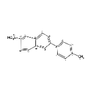 Cc1ccc(-c2ccc3cc(S(=O)(=O)O)ccc3c2)cc1